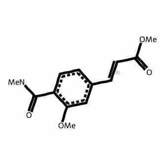 CNC(=O)c1ccc(/C=C/C(=O)OC)cc1OC